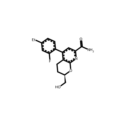 CCc1ccc(-c2cc(C(N)=O)nc3c2CC[C@H](CO)O3)c(F)c1